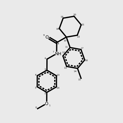 COc1ccc(CNC(=O)C2(c3ccc(C)cc3)CCCCC2)cc1